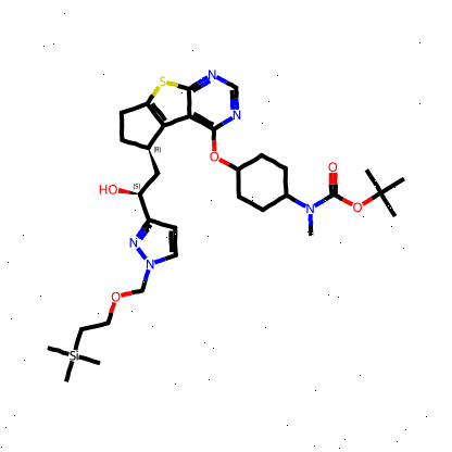 CN(C(=O)OC(C)(C)C)C1CCC(Oc2ncnc3sc4c(c23)[C@@H](C[C@H](O)c2ccn(COCC[Si](C)(C)C)n2)CC4)CC1